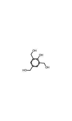 OCc1cc(CO)c(O)c(CO)c1